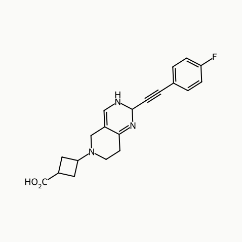 O=C(O)C1CC(N2CCC3=NC(C#Cc4ccc(F)cc4)NC=C3C2)C1